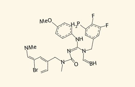 B=CN(Cc1cc(F)c(F)c(P)c1)/C(=N\C(=O)N(C)C/C(C=C)=C/C(Br)=C\NC)Nc1ccc(OC)cc1